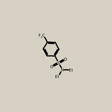 CCN(CC)S(=O)(=O)c1ccc(C(F)(F)F)cc1